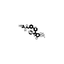 CC1(C)CC(=O)c2sc(N3CCOCC3)c(-c3ccnc(-c4cccc(CC(=O)NC5CNC5)c4)c3)c2C1